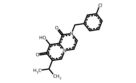 CC(C)c1cn2ccn(Cc3cccc(Cl)c3)c(=O)c2c(O)c1=O